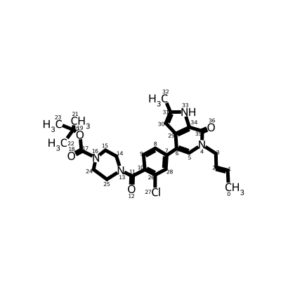 CC=CCn1cc(-c2ccc(C(=O)N3CCN(C(=O)OC(C)(C)C)CC3)c(Cl)c2)c2cc(C)[nH]c2c1=O